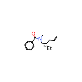 C=CC[C@H](CC)CN(C)C(=O)c1ccccc1